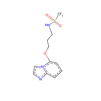 O=S(=O)(NCCCOc1cccc2nccn12)C(F)(F)F